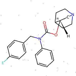 O=C(O[C@H]1CN2CCC1CC2)N(Cc1ccc(F)cc1)c1ccccc1